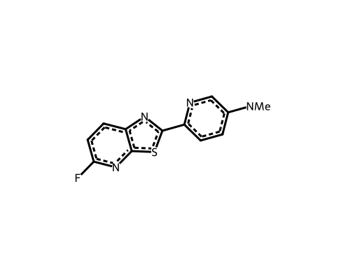 CNc1ccc(-c2nc3ccc(F)nc3s2)nc1